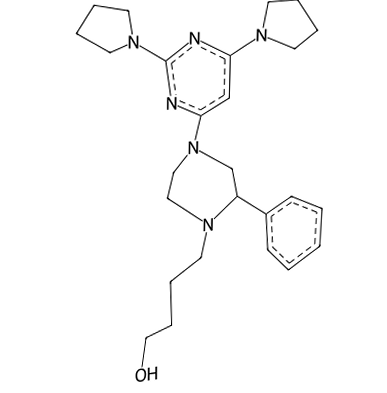 OCCCCN1CCN(c2cc(N3CCCC3)nc(N3CCCC3)n2)CC1c1ccccc1